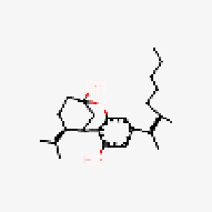 CCCCCC(C)=C(C)c1cc(O)c2c(c1)OC1(O)CCC(=C(C)C)C2C1